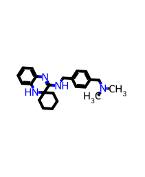 CN(C)Cc1ccc(CNC2=Nc3ccccc3NC23CCCCC3)cc1